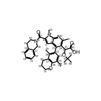 Cc1nc2c(cc(C(=O)N3CCc4ccccc4C3)n2C)c(-c2cc(F)c3c(c2C)CCCO3)c1[C@H](OC(C)(C)C)C(=O)O